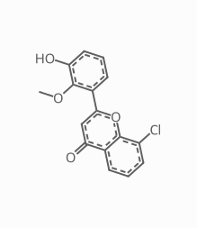 COc1c(O)cccc1-c1cc(=O)c2cccc(Cl)c2o1